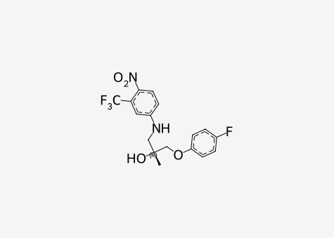 C[C@@](O)(CNc1ccc([N+](=O)[O-])c(C(F)(F)F)c1)COc1ccc(F)cc1